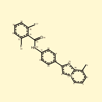 Cc1cccn2cc(-c3ccc(NC(=O)c4c(F)cccc4F)cc3)nc12